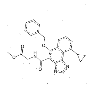 COC(=O)CNC(=O)c1c(OCc2ccccc2)c2cccc(C3CC3)c2c2ncnn12